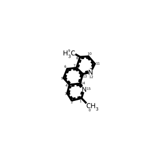 Cc1ccc2ccc3c(C)ccnc3c2n1